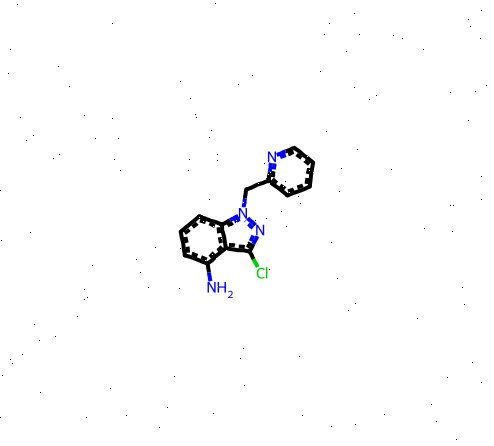 Nc1cccc2c1c(Cl)nn2Cc1ccccn1